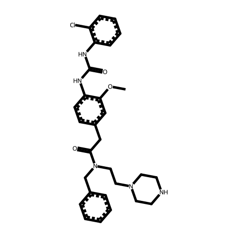 COc1cc(CC(=O)N(CCN2CCNCC2)Cc2ccccc2)ccc1NC(=O)Nc1ccccc1Cl